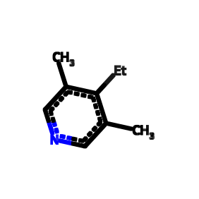 CCc1c(C)cncc1C